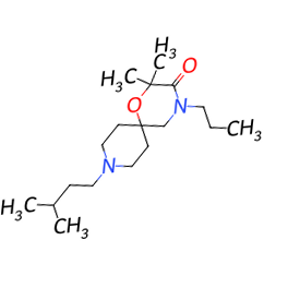 CCCN1CC2(CCN(CCC(C)C)CC2)OC(C)(C)C1=O